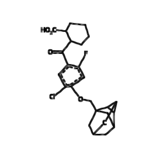 O=C(O)C1CCCCC1C(=O)c1cc(Cl)c(OCC23CC4CC(C2)C2C(C4)C23)cc1F